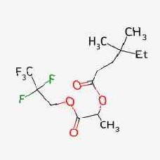 CCC(C)(C)CCC(=O)OC(C)C(=O)OCC(F)(F)C(F)(F)F